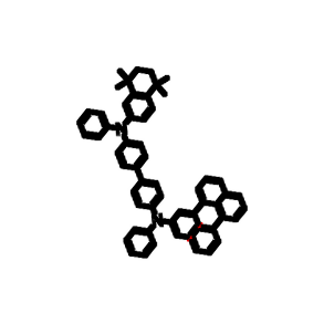 CC1(C)CCC(C)(C)c2cc(N(c3ccccc3)c3ccc(-c4ccc(N(c5ccccc5)c5cccc(-c6cccc7cccc(-c8ccccc8)c67)c5)cc4)cc3)ccc21